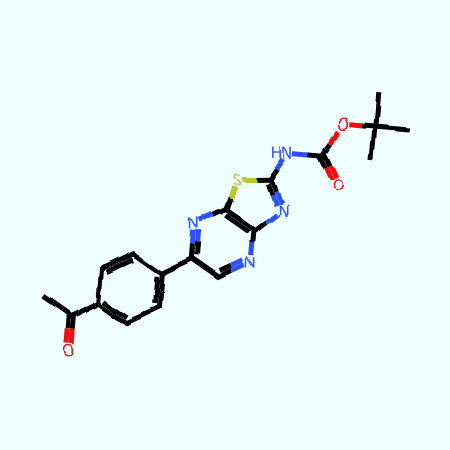 CC(=O)c1ccc(-c2cnc3nc(NC(=O)OC(C)(C)C)sc3n2)cc1